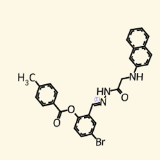 Cc1ccc(C(=O)Oc2ccc(Br)cc2/C=N/NC(=O)CNc2ccc3ccccc3c2)cc1